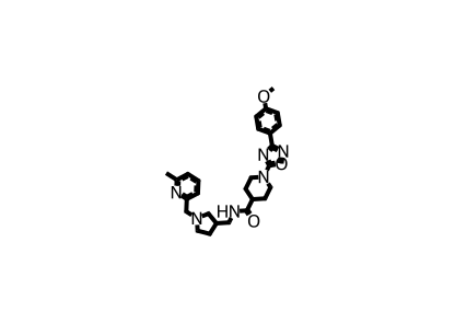 COc1ccc(-c2noc(N3CCC(C(=O)NCC4CCN(Cc5cccc(C)n5)C4)CC3)n2)cc1